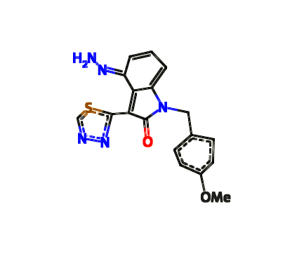 COc1ccc(CN2C(=O)C(c3nncs3)=C3C2=CC=CC3=NN)cc1